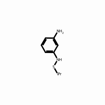 CC(C)SNc1cccc(N)c1